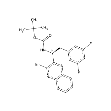 CC(C)(C)OC(=O)N[C@@H](Cc1cc(F)cc(F)c1)c1nc2ccccc2nc1Br